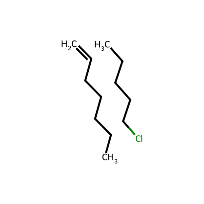 C=CCCCCC.CCCCCCl